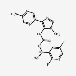 C[C@@H](OC(=O)Nc1c(-c2cnc(N)cn2)nnn1C)c1cc(F)cnc1F